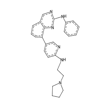 c1ccc(Nc2ncc3cccc(-c4ccc(NCCN5CCCC5)nc4)c3n2)cc1